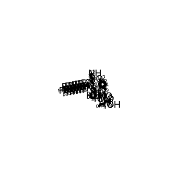 CC[C@H](C)[C@H](NC(=O)[C@H](Cc1ccc(O)cc1)NC(=O)[C@@H]1CCCN1C(=O)[C@H](CCCCN)NC(=O)C(F)(F)C(F)(F)C(F)(F)C(F)(F)C(F)(F)C(F)(F)C(F)(F)F)C(=O)O